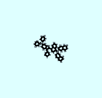 c1ccc(-c2c(-c3ccc(N(c4ccc5ccccc5c4)c4ccc5ccccc5c4)c4ccccc34)sc3cc(N(c4ccccc4)c4ccccc4)ccc23)cc1